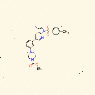 Cc1ccc(S(=O)(=O)n2cc(I)c3cc(-c4cccc(N5CCN(C(=O)OC(C)(C)C)CC5)c4)cnc32)cc1